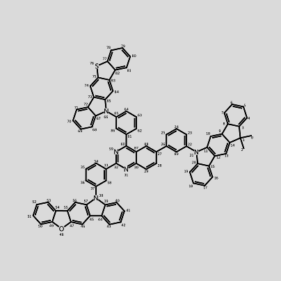 CC1(C)c2ccccc2-c2cc3c(cc21)c1ccccc1n3-c1cccc(-c2ccc3nc(-c4cccc(-n5c6ccccc6c6cc7oc8ccccc8c7cc65)c4)nc(-c4cccc(-n5c6ccccc6c6cc7sc8ccccc8c7cc65)c4)c3c2)c1